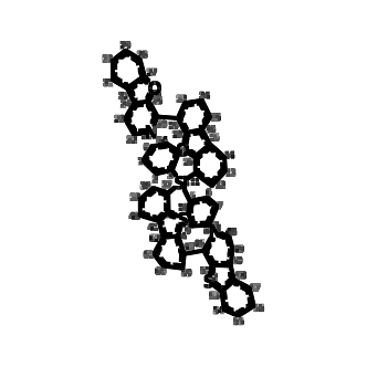 c1ccc([Si](c2ccccc2)(c2cccc3c2oc2c(-c4nccc5c4oc4ccccc45)cccc23)c2cccc3c2sc2c(-c4nccc5c4sc4ccccc45)cccc23)cc1